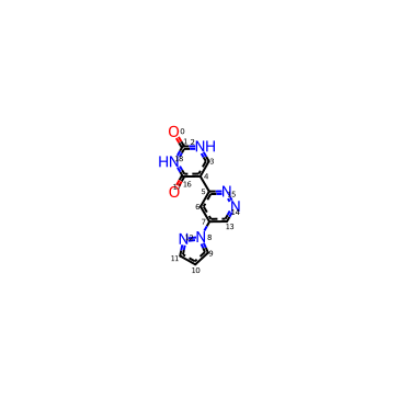 O=c1[nH]cc(-c2cc(-n3cccn3)cnn2)c(=O)[nH]1